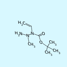 C=CN(C(=O)OC(C)(C)C)N(C)N